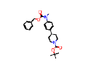 CN(C(=O)OCc1ccccc1)c1ccc(C2CCN(C(=O)OC(C)(C)C)CC2)cc1